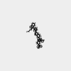 CCCCc1oc2ccccc2c1-c1ncc(-c2ccc3cc(OCc4ccc(C(=O)OC)cc4C(=O)OC)ccc3c2)o1